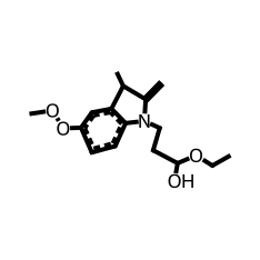 C=C1C(C)c2cc(OOC)ccc2N1CCC(O)OCC